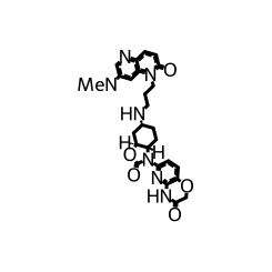 CNc1cnc2ccc(=O)n(CCCN[C@H]3CC[C@H]4[C@H](C3)OC(=O)N4c3ccc4c(n3)NC(=O)CO4)c2c1